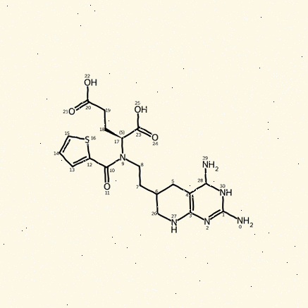 NC1=NC2=C(CC(CCN(C(=O)c3cccs3)[C@@H](CCC(=O)O)C(=O)O)CN2)C(N)N1